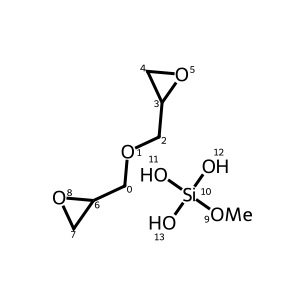 C(OCC1CO1)C1CO1.CO[Si](O)(O)O